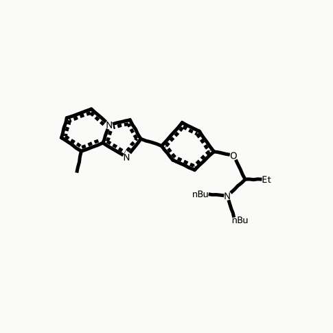 CCCCN(CCCC)C(CC)Oc1ccc(-c2cn3cccc(C)c3n2)cc1